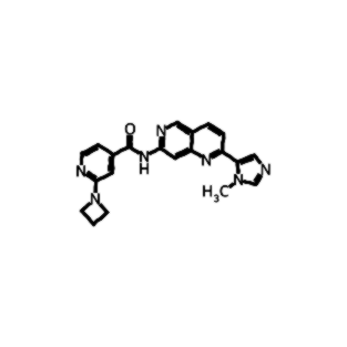 Cn1cncc1-c1ccc2cnc(NC(=O)c3ccnc(N4CCC4)c3)cc2n1